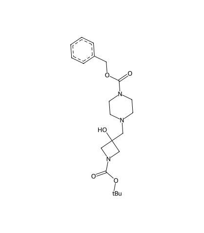 CC(C)(C)OC(=O)N1CC(O)(CN2CCN(C(=O)OCc3ccccc3)CC2)C1